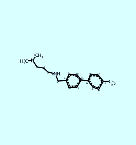 CN(C)CCCNCc1ccc(-c2ccc(C(F)(F)F)cc2)cc1